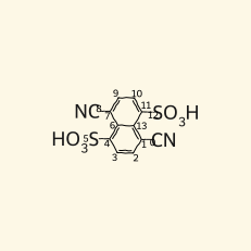 N#Cc1ccc(S(=O)(=O)O)c2c(C#N)ccc(S(=O)(=O)O)c12